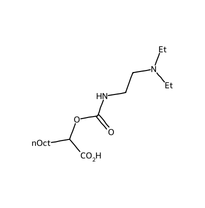 CCCCCCCCC(OC(=O)NCCN(CC)CC)C(=O)O